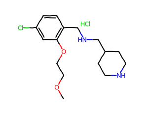 COCCOc1cc(Cl)ccc1CNCC1CCNCC1.Cl